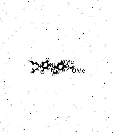 C=CCN(CC=C)C1=CC(=O)C(Nc2ncnc3cc(OCCOC)c(OC)cc23)=CC1=O